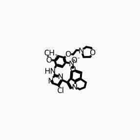 COc1cc(OCCN2CCOCC2)c([N+](=O)[O-])cc1Nc1ncc(Cl)c(-c2cn3c4c(cccc24)CCC3)n1